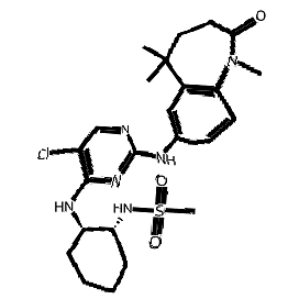 CN1C(=O)CCC(C)(C)c2cc(Nc3ncc(Cl)c(N[C@@H]4CCCC[C@H]4NS(C)(=O)=O)n3)ccc21